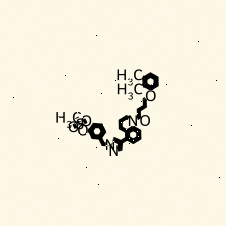 Cc1cccc(OCCCC(=O)N2CCCc3c(-c4cnn(Cc5cccc(OS(C)(=O)=O)c5)c4)cccc32)c1C